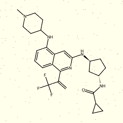 C=C(c1nc(N[C@H]2CC[C@H](NC(=O)C3CC3)C2)cc2c(NC3CCN(C)CC3)cccc12)C(F)(F)F